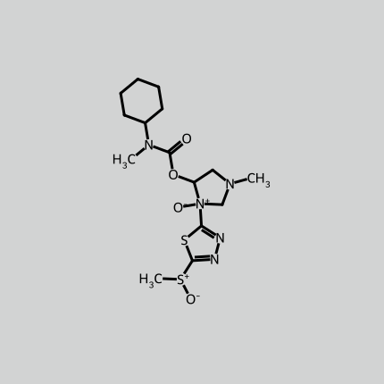 CN1CC(OC(=O)N(C)C2CCCCC2)[N+]([O-])(c2nnc([S+](C)[O-])s2)C1